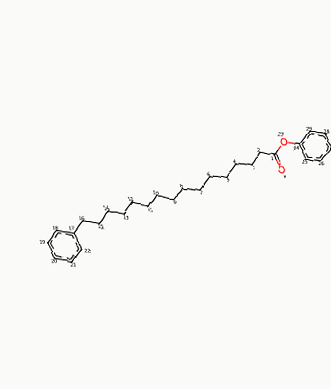 O=C(CCCCCCCCCCCCCCCc1ccccc1)Oc1ccccc1